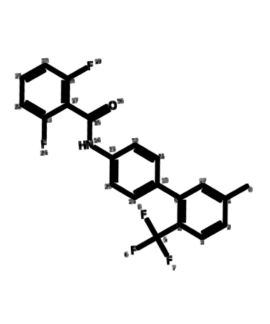 Cc1ccc(C(F)(F)F)c(-c2ccc(NC(=O)c3c(F)cccc3F)cc2)c1